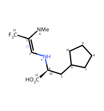 CN/C(=C\N[C@@H](CC1CCCC1)C(=O)O)C(F)(F)F